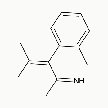 CC(=N)C(=C(C)C)c1ccccc1C